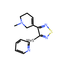 CSc1nsnc1C1=CCCN(C)C1.c1ccncc1